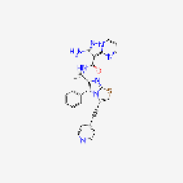 C[C@H](NC(=O)c1c(N)nn2cccnc12)c1nc2scc(C#Cc3ccncc3)n2c1-c1ccccc1